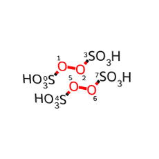 O=S(=O)(O)OOS(=O)(=O)O.O=S(=O)(O)OOS(=O)(=O)O